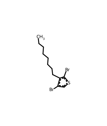 CCCCCCCCc1c(Br)csc1Br